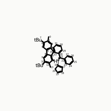 Cc1cc2c(cc1C(C)(C)C)-c1cc(C(C)(C)C)c(C)[c]([Hf]([C]3=CC=CC3)=[C](c3ccccc3)c3ccccc3)c1C2